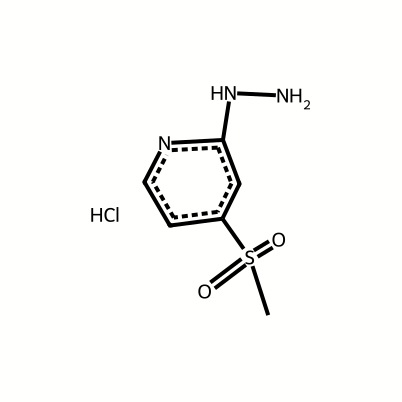 CS(=O)(=O)c1ccnc(NN)c1.Cl